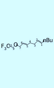 CCCCC=CCCC=CCOCC(F)(F)F